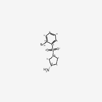 N[C@H]1CCN(S(=O)(=O)c2ccccc2Br)C1